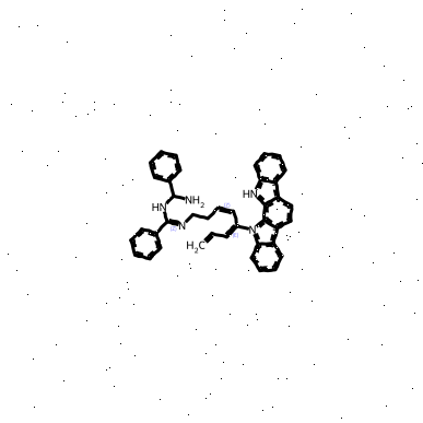 C=C/C=C(\C=C/CC/N=C(\NC(N)c1ccccc1)c1ccccc1)n1c2ccccc2c2ccc3c4ccccc4[nH]c3c21